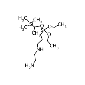 CCO[Si](CCCNCCN)(OCC)OC(C)[Si](C)(C)C